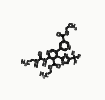 CCNC(=O)Nc1ncc(-c2cncc(C(=O)OCC)c2)c(-c2nc(C(F)(F)F)cs2)c1C(=O)OCC